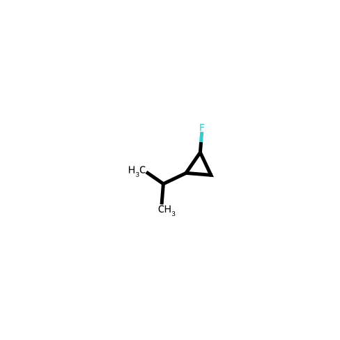 CC(C)C1CC1F